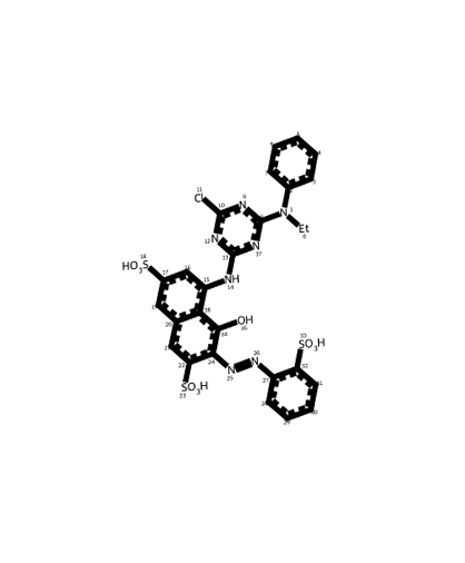 CCN(c1ccccc1)c1nc(Cl)nc(Nc2cc(S(=O)(=O)O)cc3cc(S(=O)(=O)O)c(/N=N/c4ccccc4S(=O)(=O)O)c(O)c23)n1